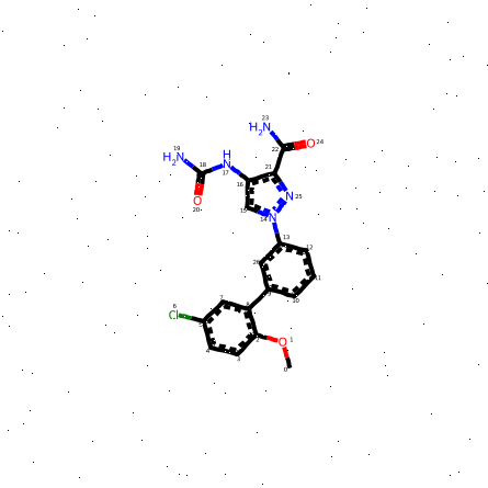 COc1ccc(Cl)cc1-c1cccc(-n2cc(NC(N)=O)c(C(N)=O)n2)c1